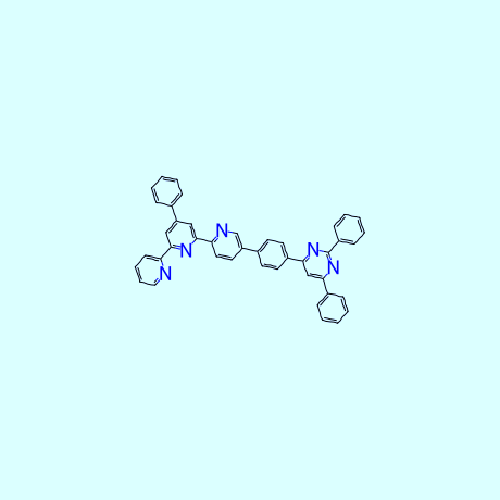 c1ccc(-c2cc(-c3ccccn3)nc(-c3ccc(-c4ccc(-c5cc(-c6ccccc6)nc(-c6ccccc6)n5)cc4)cn3)c2)cc1